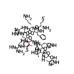 CSCC[C@H](NC(=O)[C@H](CCCNC(=N)N)NC(=O)[C@H](Cc1c[nH]cn1)NC(=O)[C@H](CCCCN)NC(=O)[C@H](Cc1ccccc1)NC(=O)[C@@H](N)CCSC)C(=O)N[C@@H](Cc1ccccc1)C(=O)N[C@@H](Cc1c[nH]cn1)C(=O)N[C@H](C(=O)N[C@@H](Cc1c[nH]cn1)C(=O)O)[C@@H](C)O